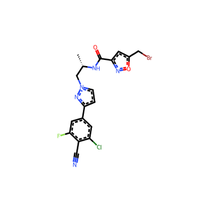 C[C@@H](Cn1ccc(-c2cc(F)c(C#N)c(Cl)c2)n1)NC(=O)c1cc(CBr)on1